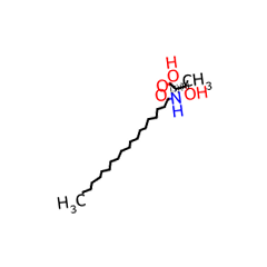 CCCCCCCCCCCCCCCCCCCC(=O)N[C@H](C(=O)O)[C@@H](C)O